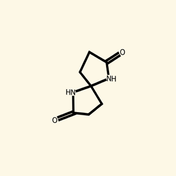 O=C1CCC2(CCC(=O)N2)N1